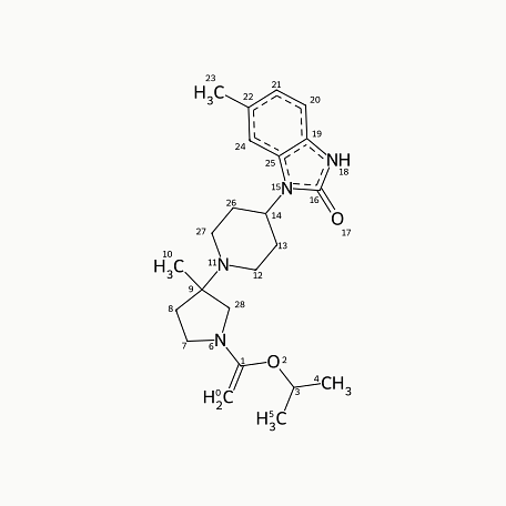 C=C(OC(C)C)N1CCC(C)(N2CCC(n3c(=O)[nH]c4ccc(C)cc43)CC2)C1